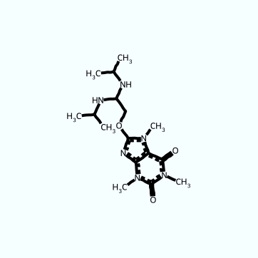 CC(C)NC(COc1nc2c(c(=O)n(C)c(=O)n2C)n1C)NC(C)C